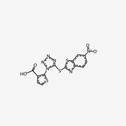 O=C(O)c1ccsc1-n1nnnc1Sc1nc2ccc([N+](=O)[O-])cc2s1